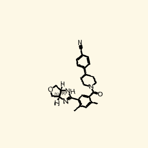 Cc1cc(C)c(C2=N[C@@H]3COC[C@@H]3N2)cc1C(=O)N1CCC(c2ccc(C#N)cc2)CC1